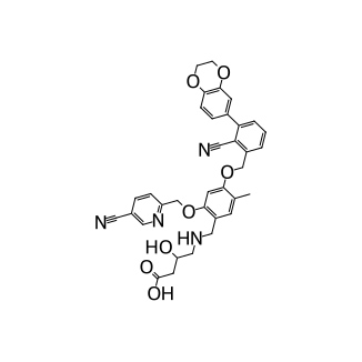 Cc1cc(CNCC(O)CC(=O)O)c(OCc2ccc(C#N)cn2)cc1OCc1cccc(-c2ccc3c(c2)OCCO3)c1C#N